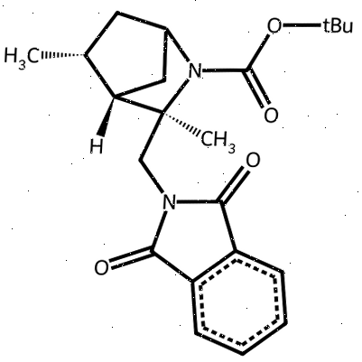 C[C@@H]1CC2C[C@@H]1[C@](C)(CN1C(=O)c3ccccc3C1=O)N2C(=O)OC(C)(C)C